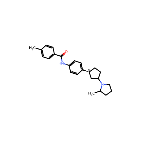 Cc1ccc(C(=O)Nc2ccc([C@H]3CCC(N4CCCC4C)C3)cc2)cc1